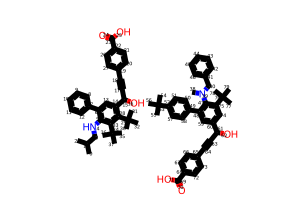 CC(C)CNc1c(-c2ccccc2)cc(C(O)C#Cc2ccc(C(=O)O)cc2)c(C(C)(C)C)c1C(C)(C)C.CN(Cc1ccccc1)c1c(-c2ccc(C(C)(C)C)cc2)cc(C(O)C#Cc2ccc(C(=O)O)cc2)cc1C(C)(C)C